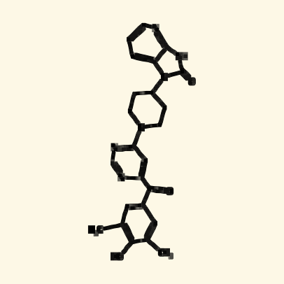 Cc1cc(C(=O)c2cc(N3CCC(n4c(=O)[nH]c5ncccc54)CC3)ncn2)cc(C)c1O